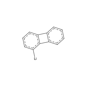 [Li][c]1cccc2c1-c1ccccc1-2